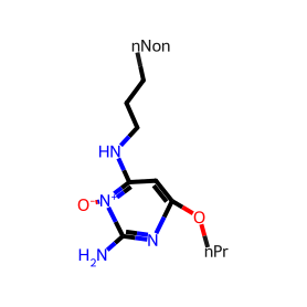 CCCCCCCCCCCCNc1cc(OCCC)nc(N)[n+]1[O-]